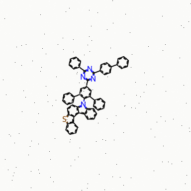 c1ccc(-c2ccc(-c3nc(-c4ccccc4)nc(-c4cc(-c5ccccc5)c(-n5c6ccccc6c6c7c(ccc65)sc5ccccc57)c(-c5ccccc5)c4)n3)cc2)cc1